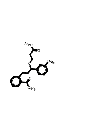 COC(=O)CCSC(CCc1ccccc1C(=O)OC)c1cccc(OC)c1